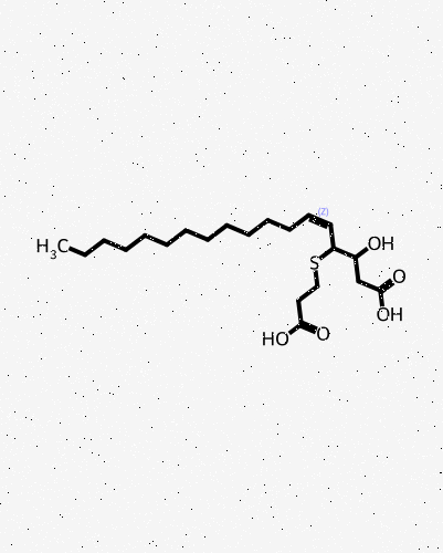 CCCCCCCCCCCC/C=C\C(SCCC(=O)O)C(O)CC(=O)O